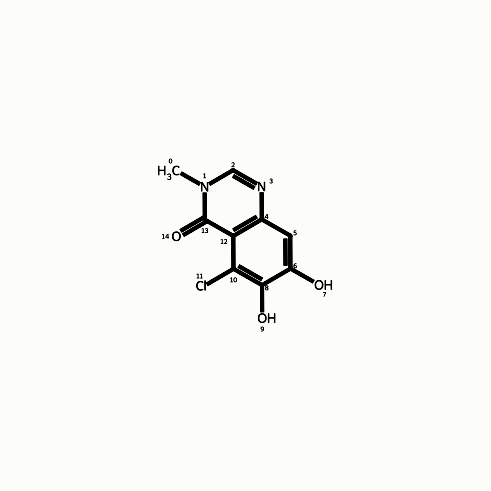 Cn1cnc2cc(O)c(O)c(Cl)c2c1=O